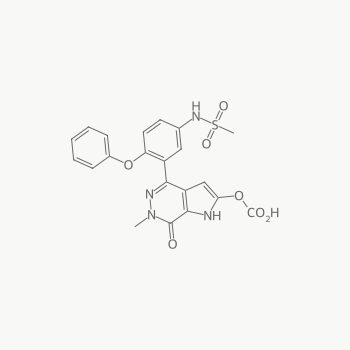 Cn1nc(-c2cc(NS(C)(=O)=O)ccc2Oc2ccccc2)c2cc(OC(=O)O)[nH]c2c1=O